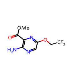 COC(=O)c1nc(OCC(F)(F)F)cnc1N